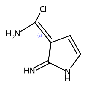 N=C1NC=C/C1=C(/N)Cl